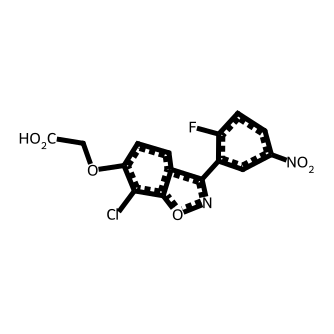 O=C(O)COc1ccc2c(-c3cc([N+](=O)[O-])ccc3F)noc2c1Cl